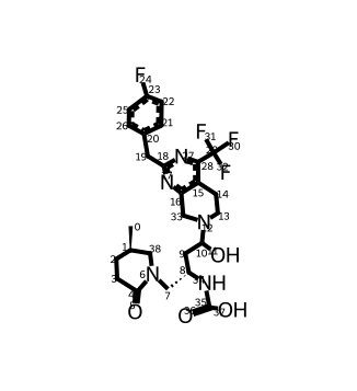 C[C@@H]1CCC(=O)N(C[C@H](CC(O)N2CCc3c(nc(Cc4ccc(F)cc4)nc3C(F)(F)F)C2)NC(=O)O)C1